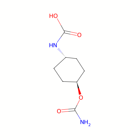 NC(=O)O[C@H]1CC[C@H](NC(=O)O)CC1